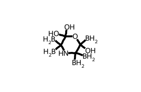 BC1(B)NC(B)(B)C(O)(O)OC1(B)O